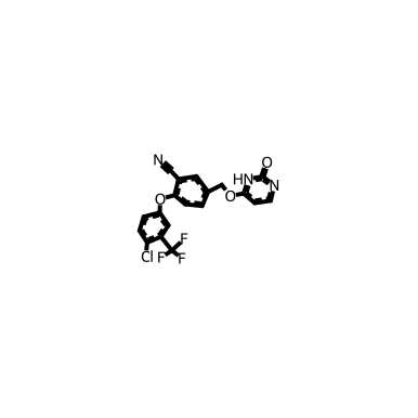 N#Cc1cc(COc2ccnc(=O)[nH]2)ccc1Oc1ccc(Cl)c(C(F)(F)F)c1